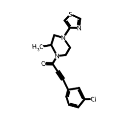 CC1CN(c2cscn2)CCN1C(=O)C#Cc1cccc(Cl)c1